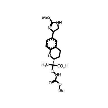 CSC1=NC(c2ccc3c(c2)CC[C@H](C(C)(ONC(=O)OC(C)(C)C)C(=O)O)O3)CN1